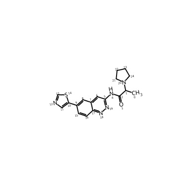 CC(C(=O)Nc1cc2cc(-c3cncs3)ccc2nn1)N1CCCC1